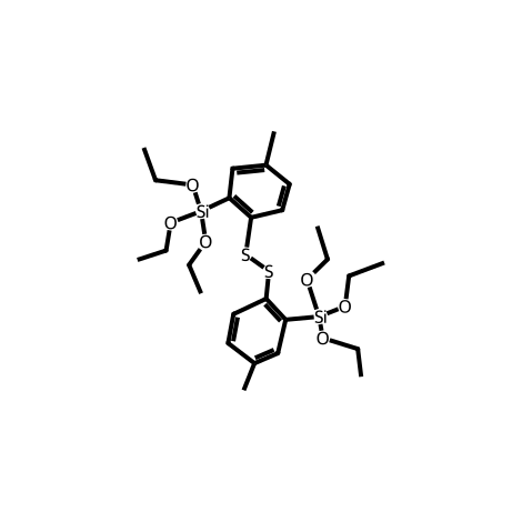 CCO[Si](OCC)(OCC)c1cc(C)ccc1SSc1ccc(C)cc1[Si](OCC)(OCC)OCC